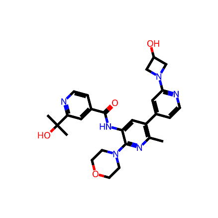 Cc1nc(N2CCOCC2)c(NC(=O)c2ccnc(C(C)(C)O)c2)cc1-c1ccnc(N2CC(O)C2)c1